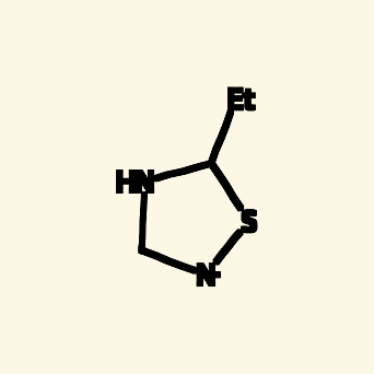 CCC1NC[N]S1